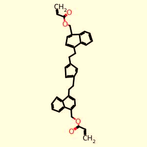 C=CC(=O)OCc1ccc(CCc2ccc(CCc3ccc(COC(=O)C=C)c4ccccc34)cc2)c2ccccc12